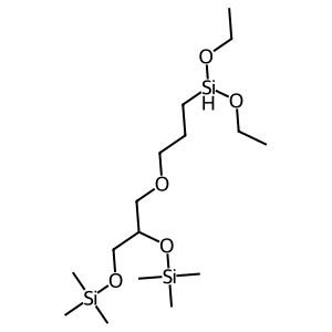 CCO[SiH](CCCOCC(CO[Si](C)(C)C)O[Si](C)(C)C)OCC